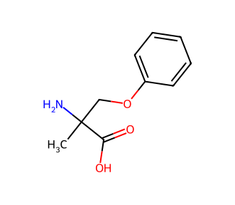 CC(N)(COc1ccccc1)C(=O)O